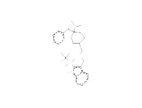 CN(C)C1(Cc2ccccc2)CCC(COCc2c([Si](C)(C)C(C)(C)C)[nH]c3ccccc23)CC1